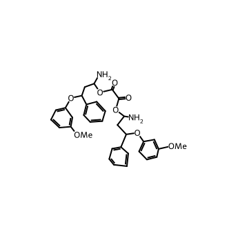 COc1cccc(OC(CC(N)OC(=O)C(=O)OC(N)CC(Oc2cccc(OC)c2)c2ccccc2)c2ccccc2)c1